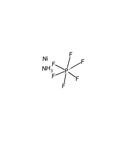 F[P-](F)(F)(F)(F)F.N.[Ni]